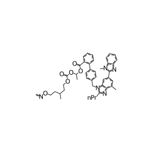 C=NOCCC(C)CCOC(=O)OC(C)OC(=O)c1ccccc1-c1ccc(Cn2c(CCC)nc3c(C)cc(-c4nc5ccccc5n4C)cc32)cc1